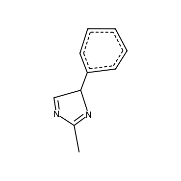 CC1=NC(c2ccccc2)C=N1